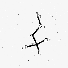 C[CH]SCC(F)(F)Cl